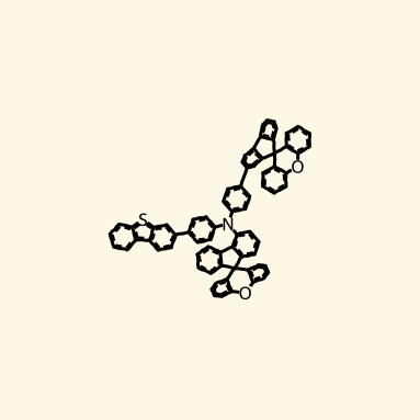 c1ccc2c(c1)Oc1ccccc1C21c2ccccc2-c2ccc(-c3ccc(N(c4ccc(-c5ccc6c(c5)sc5ccccc56)cc4)c4cccc5c4-c4ccccc4C54c5ccccc5Oc5ccccc54)cc3)cc21